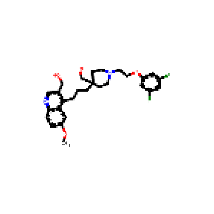 COc1ccc2ncc(CO)c(CCCC3(CO)CCN(CCOc4cc(F)cc(F)c4)CC3)c2c1